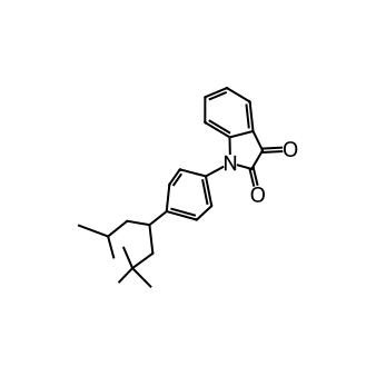 CC(C)CC(CC(C)(C)C)c1ccc(N2C(=O)C(=O)c3ccccc32)cc1